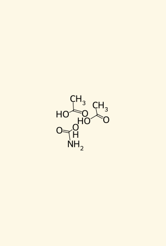 CC(=O)O.CC(=O)O.NC(=O)O